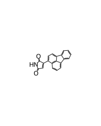 O=C1C=C(c2ccc3c4c(cccc24)-c2ccccc2-3)C(=O)N1